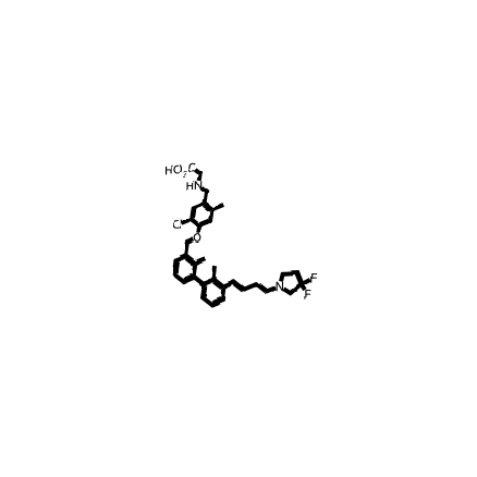 Cc1cc(OCc2cccc(-c3cccc(C=CCCN4CCC(F)(F)C4)c3C)c2C)c(Cl)cc1CNCC(=O)O